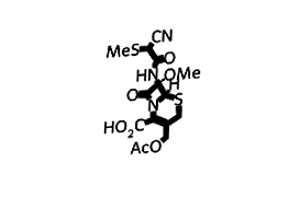 CO[C@@]1(NC(=O)C(C#N)SC)C(=O)N2C(C(=O)O)=C(COC(C)=O)CS[C@H]21